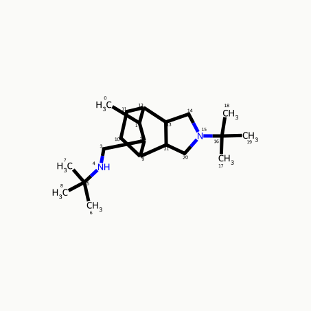 CC1C(CNC(C)(C)C)C2CCC1C1CN(C(C)(C)C)CC21